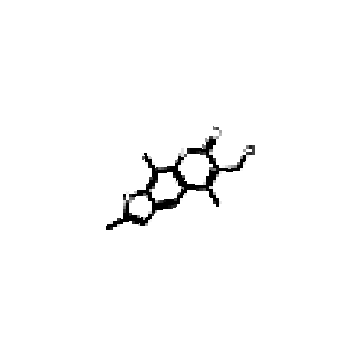 Cc1cc2cc3c(C)c(CCl)c(=O)oc3c(C)c2o1